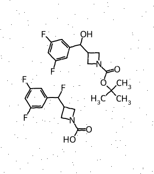 CC(C)(C)OC(=O)N1CC(C(O)c2cc(F)cc(F)c2)C1.O=C(O)N1CC(C(F)c2cc(F)cc(F)c2)C1